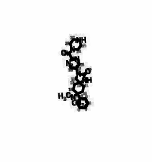 CN(C)C1(c2ccccc2)CCC2(CC1)CN(c1cnc(C(=O)N3CCNCC3)nc1)C(=O)N2